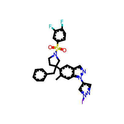 Cc1cc2c(cnn2-c2cnn(I)c2)cc1C1(Cc2ccccc2)CCN(S(=O)(=O)c2ccc(F)c(F)c2)C1